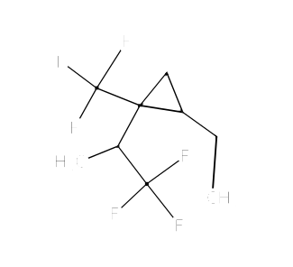 CCC1CC1(C(C)C(F)(F)F)C(F)(F)F